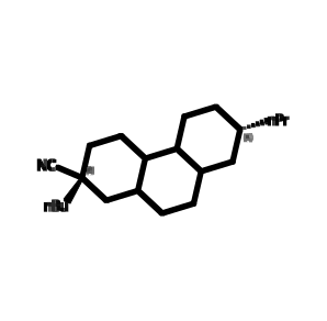 CCCC[C@@]1(C#N)CCC2C(CCC3C[C@@H](CCC)CCC32)C1